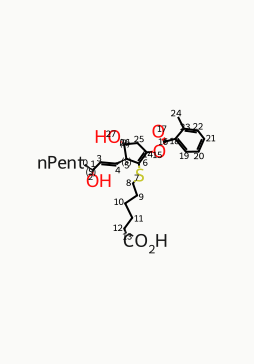 CCCCC[C@H](O)C=C[C@@H]1C(SCCCCCC(=O)O)=C(OC(=O)c2ccccc2C)C[C@H]1O